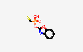 O=P(O)(C=S)Oc1nc2ccccc2o1